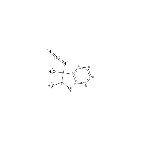 CC(O)C(C)(N=[N+]=[N-])c1ccccc1